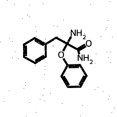 NC(=O)C(N)(Cc1ccccc1)Oc1ccccc1